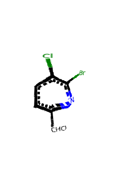 O=Cc1ccc(Cl)c(Br)n1